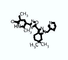 CCc1cc(-c2noc(-c3nn(Cc4cccnc4)c4c3CCC(C)(C)C4)n2)c(C)[nH]c1=O